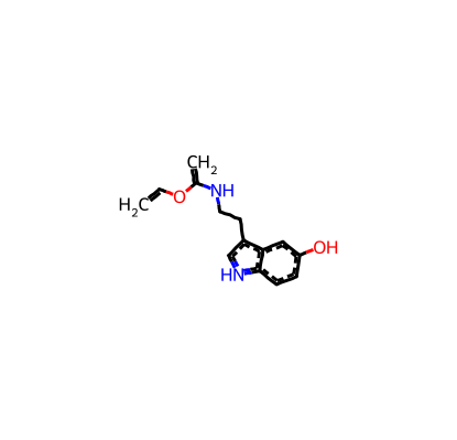 C=COC(=C)NCCc1c[nH]c2ccc(O)cc12